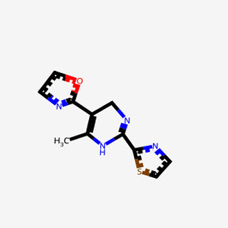 CC1=C(c2ncco2)CN=C(c2nccs2)N1